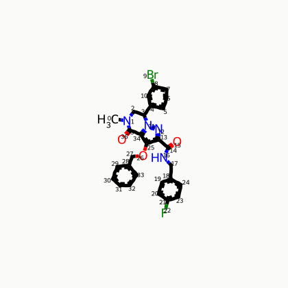 CN1CC(c2cccc(Br)c2)n2nc(C(=O)NCc3ccc(F)cc3)c(OCc3ccccc3)c2C1=O